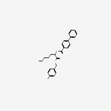 Cl.NCCCCC(NC(=O)c1ccc(-c2ccccc2)cc1)C(=O)NCc1ccc(Cl)cc1